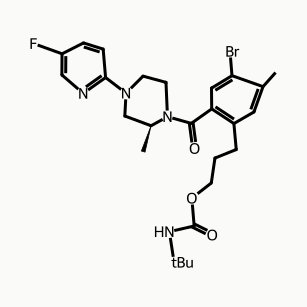 Cc1cc(CCCOC(=O)NC(C)(C)C)c(C(=O)N2CCN(c3ccc(F)cn3)C[C@@H]2C)cc1Br